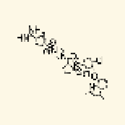 Cc1cc(C)c2cccc(OCc3c(Cl)ccc(S(=O)(=O)N4CCCC4C(=O)N4CCN(S(=O)(=O)c5ccc(C(=N)N)cc5)CC4)c3Cl)c2n1